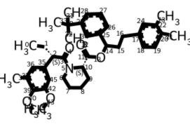 CC[C@H](C(=O)N1CCCC[C@H]1C(=O)OC(CCc1ccc(C)c(C)c1)c1cccc(C(C)(C)C)c1)c1cc(C)c(OC)c(OC)c1